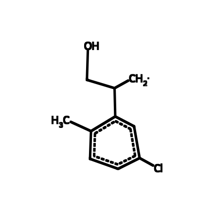 [CH2]C(CO)c1cc(Cl)ccc1C